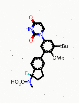 COc1c(-c2ccc3c(c2)CCC3(F)N(C)C(=O)O)cc(-n2ccc(=O)[nH]c2=O)cc1C(C)(C)C